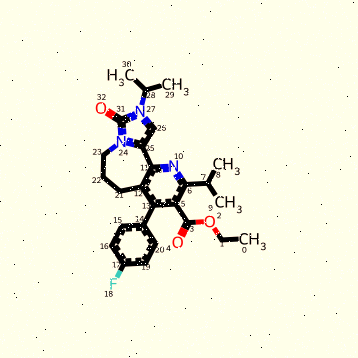 CCOC(=O)c1c(C(C)C)nc2c(c1-c1ccc(F)cc1)CCCn1c-2cn(C(C)C)c1=O